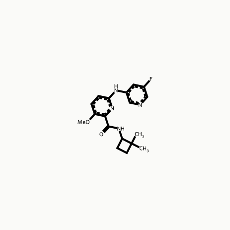 COc1ccc(Nc2cncc(F)c2)nc1C(=O)NC1CCC1(C)C